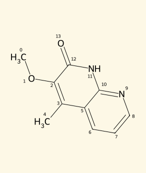 COc1c(C)c2cccnc2[nH]c1=O